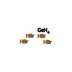 Br.Br.Br.Br.[GeH4]